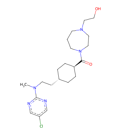 CN(CC[C@H]1CC[C@H](C(=O)N2CCCN(CCO)CC2)CC1)c1ncc(Cl)cn1